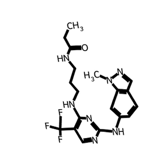 CCC(=O)NCCCNc1nc(Nc2ccc3cnn(C)c3c2)ncc1C(F)(F)F